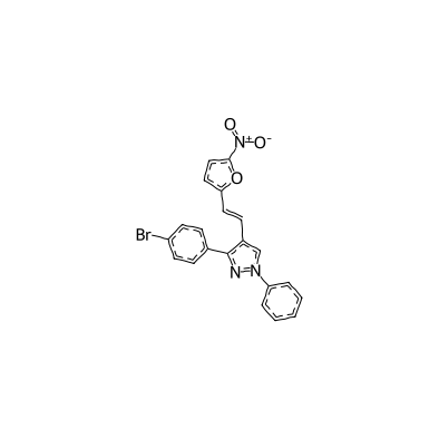 O=[N+]([O-])c1ccc(/C=C/c2cn(-c3ccccc3)nc2-c2ccc(Br)cc2)o1